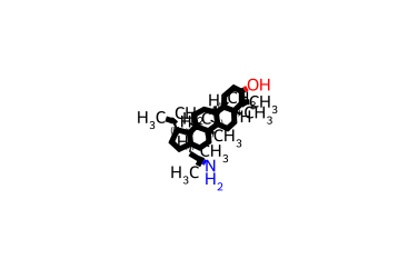 C=C(C)[C@@H]1CC[C@]2(CC(C)(C)N)CC[C@]3(C)[C@H](CC[C@@H]4[C@@]5(C)CCC(O)C(C)(C)[C@@H]5CC[C@]43C)[C@@H]12